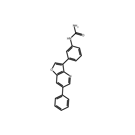 NC(=O)Nc1cccc(-c2coc3cc(-c4ccccc4)cnc23)c1